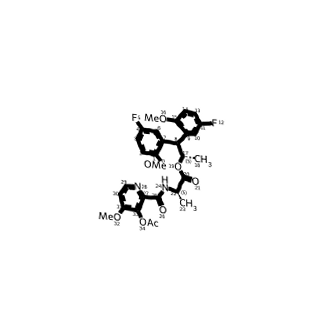 COc1ccc(F)cc1C(c1cc(F)ccc1OC)[C@H](C)OC(=O)[C@H](C)NC(=O)c1nccc(OC)c1OC(C)=O